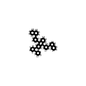 c1ccc(-c2ccccc2-c2ccc3c(-c4cccc(-c5cccc6ccccc56)c4)c4ccccc4c(-c4cccc(-c5cccc6ccccc56)c4)c3c2)cc1